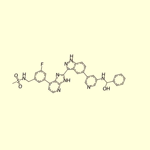 CS(=O)(=O)NCc1cc(F)cc(-c2ccnc3[nH]c(-c4n[nH]c5ccc(-c6cncc(NC(O)c7ccccc7)c6)cc45)nc23)c1